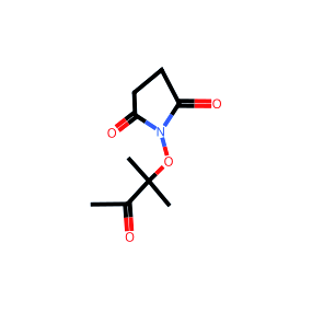 CC(=O)C(C)(C)ON1C(=O)CCC1=O